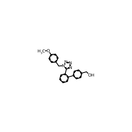 COc1ccc(Cn2nnnc2-c2ccccc2-c2ccc(CO)cc2)cc1